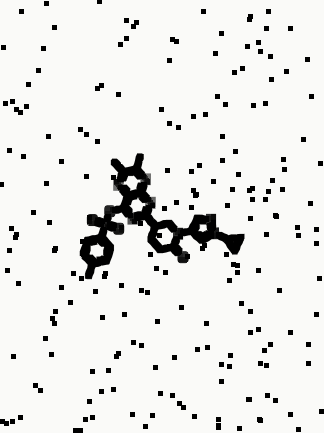 Cc1ccc(S(=O)(=O)Oc2nc(C3CCC(=O)N(c4cnn(C5CC5)c4)C3)nc3nc(C)c(C)nc23)cc1